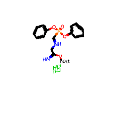 CCCCCCCCOC(=N)CNCP(=O)(Oc1ccccc1)Oc1ccccc1.Cl.Cl